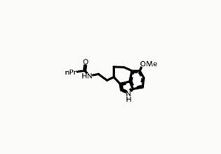 CCCC(=O)NCCC1CCc2c(OC)ccc3[nH]cc1c23